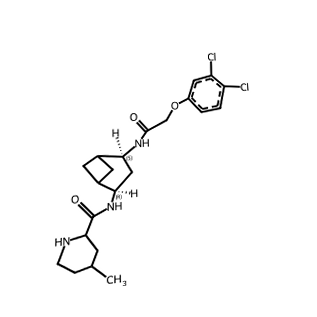 CC1CCNC(C(=O)N[C@@H]2C[C@H](NC(=O)COc3ccc(Cl)c(Cl)c3)C3CC2C3)C1